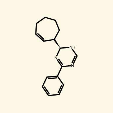 C1=CC([C@@H]2N=C(c3ccccc3)N=CN2)CCCC1